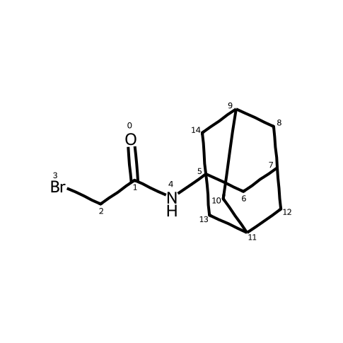 O=C(CBr)NC12CC3CC(CC(C3)C1)C2